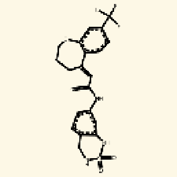 O=C(C=C1CCCOc2cc(C(F)(F)F)ccc21)Nc1ccc2c(c1)NS(=O)(=O)NC2